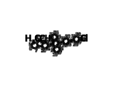 CC1(C)c2ccccc2-c2ccc(-c3c4ccccc4c(-c4ccc(-c5ccc(Cl)cc5)cc4)c4ccccc34)cc21